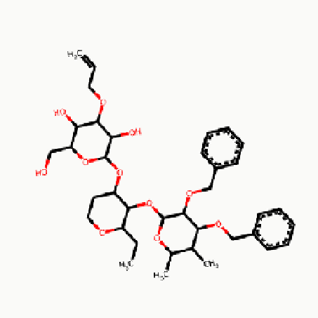 C=CCOC1C(O)C(CO)OC(OC2CCOC(CC)C2OC2OC(C)C(C)C(OCc3ccccc3)C2OCc2ccccc2)C1O